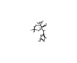 CNC1CCC(C)(C)CN(Cc2cnc(C)s2)C1=O